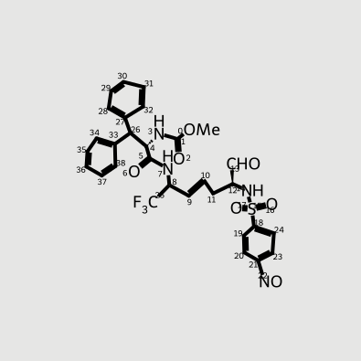 COC(=O)N[C@H](C(=O)NC(/C=C/C[C@@H](C=O)NS(=O)(=O)c1ccc(N=O)cc1)C(F)(F)F)C(c1ccccc1)c1ccccc1